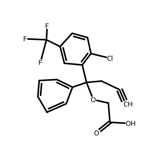 C#CCC(OCC(=O)O)(c1ccccc1)c1cc(C(F)(F)F)ccc1Cl